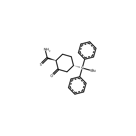 CC(C)(C)[Si](c1ccccc1)(c1ccccc1)[C@H]1CC[C@H](C(N)=S)C(=O)C1